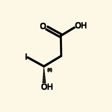 O=C(O)C[C@H](O)I